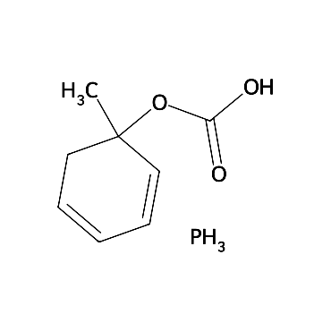 CC1(OC(=O)O)C=CC=CC1.P